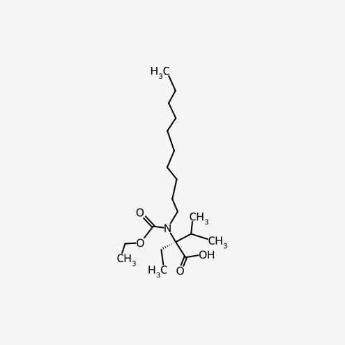 CCCCCCCCCCN(C(=O)OCC)[C@](CC)(C(=O)O)C(C)C